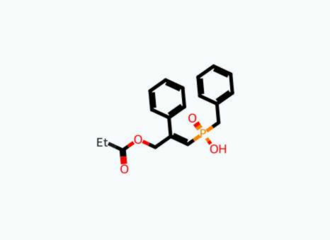 CCC(=O)OCC(=CP(=O)(O)Cc1ccccc1)c1ccccc1